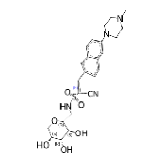 CN1CCN(c2ccc3cc(/C=C(\C#N)S(=O)(=O)NC[C@H]4OC[C@H](O)[C@@H](O)[C@@H]4O)ccc3c2)CC1